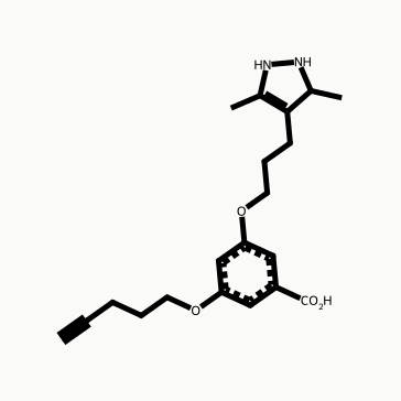 C#CCCCOc1cc(OCCCC2=C(C)NNC2C)cc(C(=O)O)c1